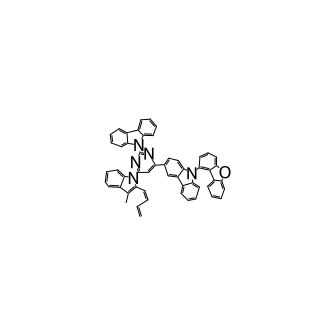 C=C/C=C\c1c(C)c2ccccc2n1-c1cc(-c2ccc3c(c2)c2ccccc2n3-c2cccc3oc4ccccc4c23)nc(-n2c3ccccc3c3ccccc32)n1